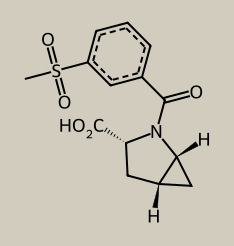 CS(=O)(=O)c1cccc(C(=O)N2[C@@H](C(=O)O)C[C@H]3C[C@H]32)c1